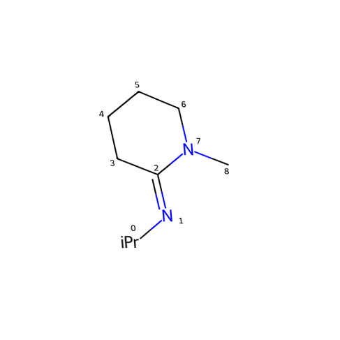 CC(C)/N=C1\CCCCN1C